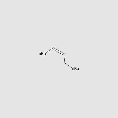 [CH2]CCC/C=C\CCCCC